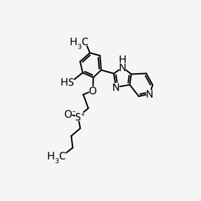 CCCC[S+]([O-])CCOc1c(S)cc(C)cc1-c1nc2cnccc2[nH]1